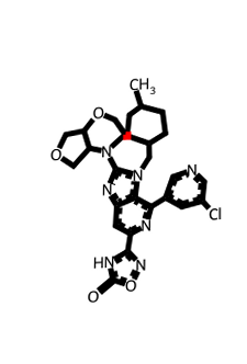 CC1CCC(Cn2c(N3CCOC4COCC43)nc3cc(-c4noc(=O)[nH]4)nc(-c4cncc(Cl)c4)c32)CC1